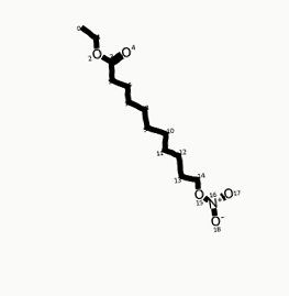 CCOC(=O)CCCCCCCCCCO[N+](=O)[O-]